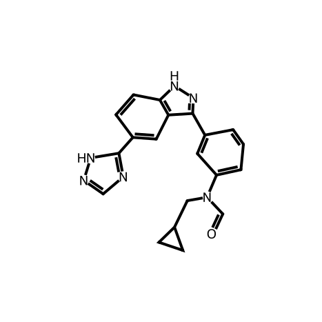 O=CN(CC1CC1)c1cccc(-c2n[nH]c3ccc(-c4ncn[nH]4)cc23)c1